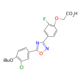 CC(C)COc1ccc(-c2nc(-c3ccc(OCC(=O)O)c(F)c3)no2)cc1Cl